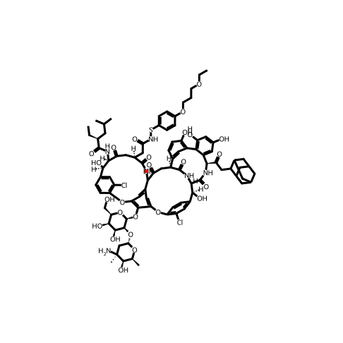 CCOCCCOc1ccc(SNC(=O)C[C@@H]2CC(=O)[C@H](NC(=O)[C@@H](CC)CC(C)C)[C@H](O)c3ccc(c(Cl)c3)Oc3cc4cc(c3O[C@@H]3O[C@H](CO)[C@H](O)[C@H](O)[C@@H]3O[C@H]3C[C@](C)(N)[C@H](O)[C@H](C)O3)Oc3ccc(cc3Cl)[C@H](O)[C@H]3NC(=O)[C@@H](CC(=O)[C@@H]4NC2=O)c2ccc(O)c(c2)-c2c(O)cc(O)cc2[C@@H](C(=O)CC2C4CC5CC(C4)CC2C5)NC3=O)cc1